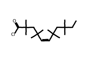 CCC(C)(C)CC(C)(C)/C=C\C(C)(C)CC(C)(C)C(=O)Cl